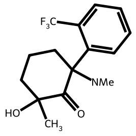 CNC1(c2ccccc2C(F)(F)F)CCCC(C)(O)C1=O